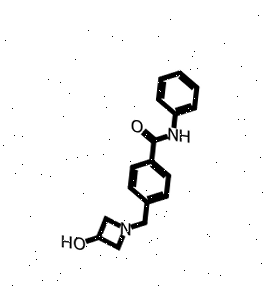 O=C(Nc1ccccc1)c1ccc(CN2CC(O)C2)cc1